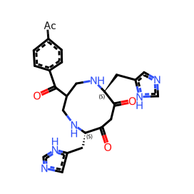 CC(=O)c1ccc(C(=O)C2CN[C@@H](Cc3cnc[nH]3)C(=O)CC(=O)[C@H](Cc3cnc[nH]3)NC2)cc1